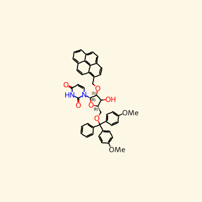 COc1ccc(C(OC[C@H]2O[C@@H](n3ccc(=O)[nH]c3=O)[C@@H](OCc3ccc4ccc5cccc6ccc3c4c56)C2O)(c2ccccc2)c2ccc(OC)cc2)cc1